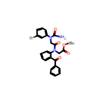 CC(C)(C)OC(=O)CN(C(=O)CN(C(N)=O)c1cccc(Br)c1)c1ccccc1C(=O)c1ccccc1